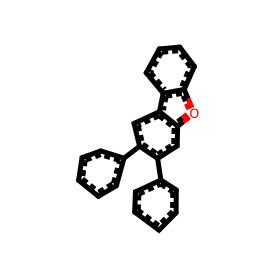 c1ccc(-c2cc3oc4ccccc4c3cc2-c2ccccc2)cc1